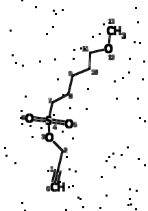 C#CCOS(=O)(=O)CCCCCOC